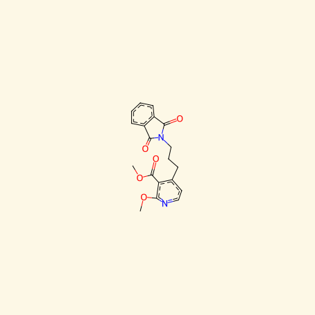 COC(=O)c1c(CCCN2C(=O)c3ccccc3C2=O)ccnc1OC